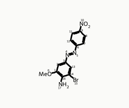 COc1cc(N=Nc2ccc([N+](=O)[O-])cc2)cc(Br)c1N